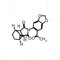 CC(=O)c1cc2c(cc1N1C(=O)[C@@H]3[C@H]4CC[C@H](C(=O)C4)[C@@H]3C1=O)OCO2